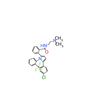 CN(C)CCNC(=O)c1ccccc1-c1ccc(-c2ccc(Cl)cc2)n1-c1ccccc1C(F)(F)F